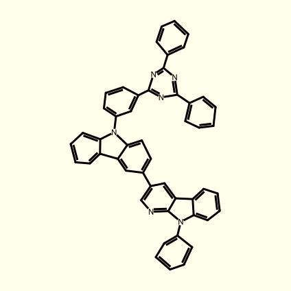 c1ccc(-c2nc(-c3ccccc3)nc(-c3cccc(-n4c5ccccc5c5cc(-c6cnc7c(c6)c6ccccc6n7-c6ccccc6)ccc54)c3)n2)cc1